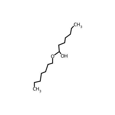 CCCCCCCOC(O)CCCCCC